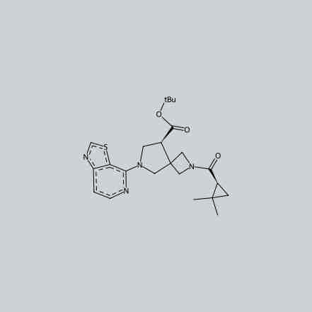 CC(C)(C)OC(=O)[C@@H]1CN(c2nccc3ncsc23)CC12CN(C(=O)[C@H]1CC1(C)C)C2